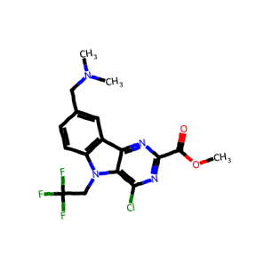 COC(=O)c1nc(Cl)c2c(n1)c1cc(CN(C)C)ccc1n2CC(F)(F)F